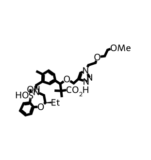 CC[C@@H]1CN(Cc2cc(C(OCc3cn(CCOCCOC)nn3)C(C)(C)C(=O)O)ccc2C)S(O)(O)c2ccccc2O1